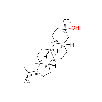 CC(=O)[C@@H](C)[C@H]1CC[C@H]2[C@@H]3CC[C@H]4C[C@](O)(C(F)(F)F)CC[C@]4(C)[C@H]3CC[C@]12C